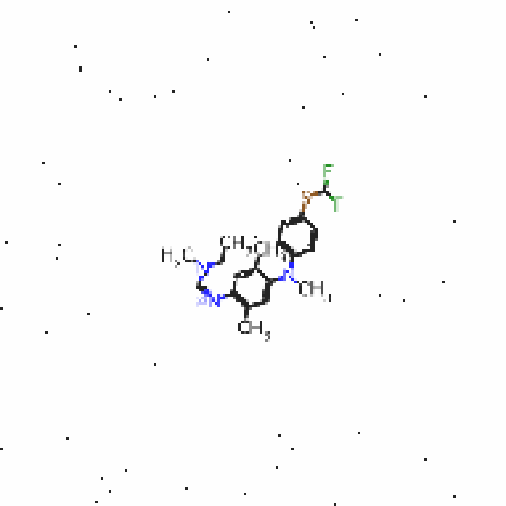 CCN(C)/C=N\c1cc(C)c(N(C)c2ccc(SC(F)F)cc2)cc1C